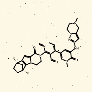 C=N/C(=C(C=O)\C(=C/C)c1cc(Nc2cc3n(n2)CCN(C)C3)c(=O)n(C)c1)N1CCn2c(cc3c2[C@H]2CC[C@@H]3C2)C1=O